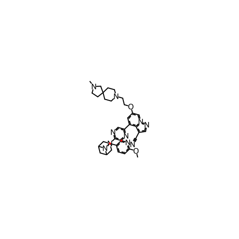 COc1ccc(CN2C3CC2CN(c2cnc(-c4cc(OCCN5CCC6(CCN(C)C6)CC5)cn5ncc(C#N)c45)cn2)C3)cn1